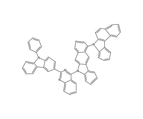 c1ccc(-n2c3ccccc3c3cc(-c4nc(-n5c6ccccc6c6cc7c(-n8c9ccccc9c9c%10ccccc%10ccc98)cccc7cc65)c5ccccc5n4)ccc32)cc1